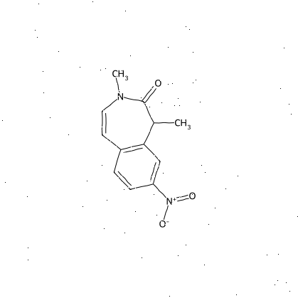 CC1C(=O)N(C)C=Cc2ccc([N+](=O)[O-])cc21